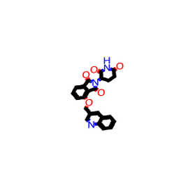 O=C1CCC(N2C(=O)c3cccc(OCc4cnc5ccccc5c4)c3C2=O)C(=O)N1